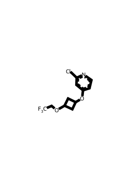 FC(F)(F)COC1CC(Oc2ccnc(Cl)c2)C1